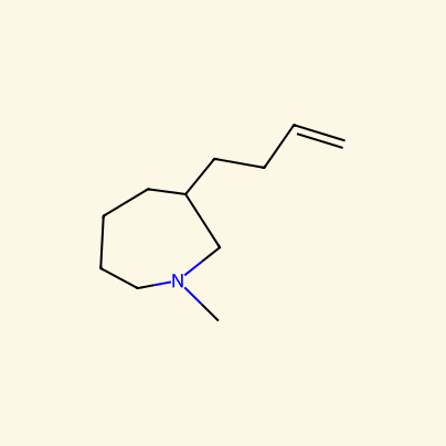 C=CCCC1CCCCN(C)C1